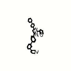 c1ccc(-c2ccc(-c3cc(-c4ccc(-c5cccc(-c6cccnc6)c5)cc4)nc(-c4ccco4)n3)cc2)cc1